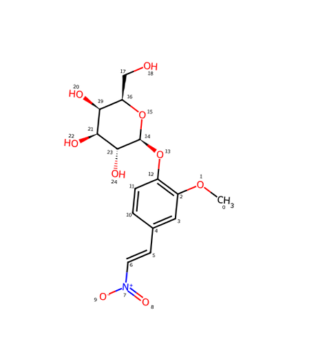 COc1cc(/C=C/[N+](=O)[O-])ccc1O[C@@H]1O[C@H](CO)[C@H](O)[C@H](O)[C@H]1O